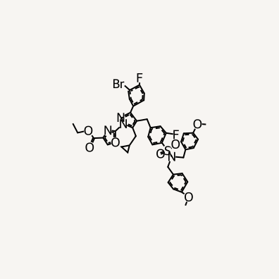 CCOC(=O)c1coc(-n2nc(-c3ccc(F)c(Br)c3)c(Cc3ccc(S(=O)(=O)N(Cc4ccc(OC)cc4)Cc4ccc(OC)cc4)c(F)c3)c2CC2CC2)n1